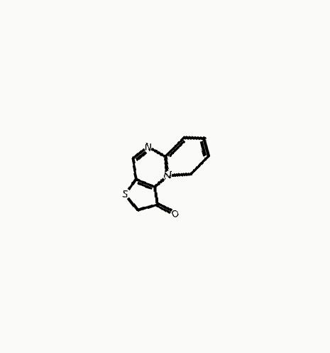 O=C1CSC2=C1N1CC=CC=C1N=C2